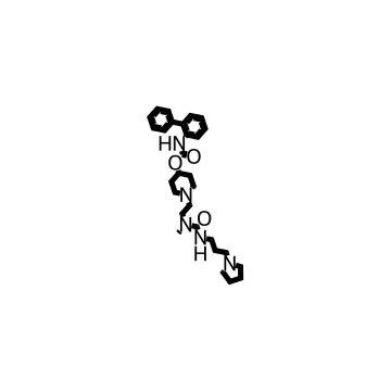 CN(CCN1CCC(OC(=O)Nc2ccccc2-c2ccccc2)CC1)C(=O)NCCCN1CCCC1